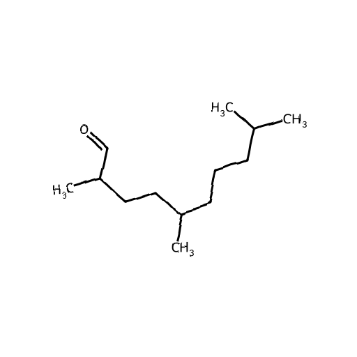 CC(C)CCCC(C)CCC(C)C=O